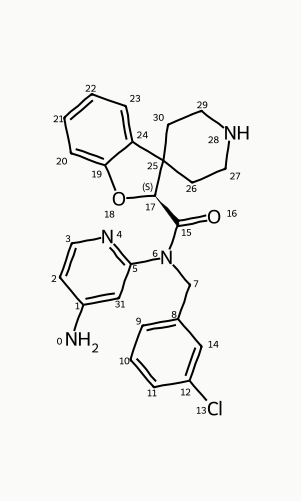 Nc1ccnc(N(Cc2cccc(Cl)c2)C(=O)[C@H]2Oc3ccccc3C23CCNCC3)c1